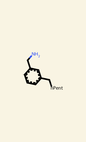 CCCCCCc1cc[c]c(CN)c1